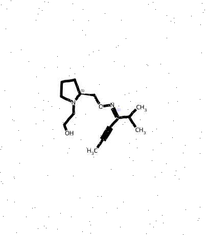 CC#C/C(=N\OC[C@@H]1CCCN1CCO)C(C)C